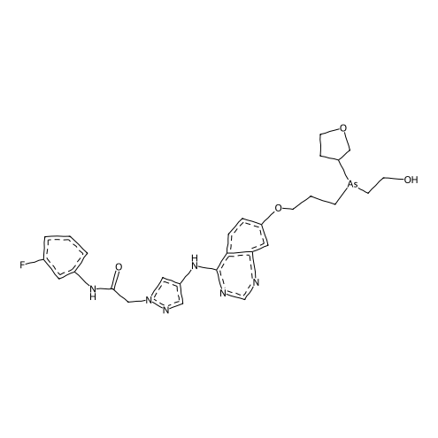 O=C(Cn1cc(Nc2ncnc3cc(OCCC[As](CCO)C4CCOC4)ccc23)cn1)Nc1cccc(F)c1